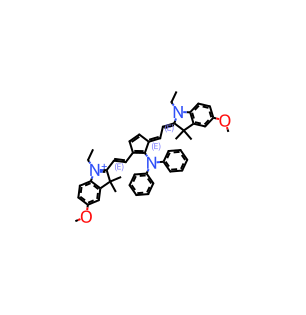 CCN1/C(=C/C=C2\C=CC(/C=C/C3=[N+](CC)c4ccc(OC)cc4C3(C)C)=C2N(c2ccccc2)c2ccccc2)C(C)(C)c2cc(OC)ccc21